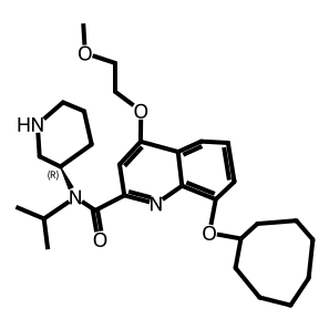 COCCOc1cc(C(=O)N(C(C)C)[C@@H]2CCCNC2)nc2c(OC3CCCCCCC3)cccc12